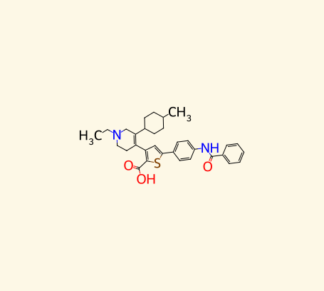 CCN1CCC(c2cc(-c3ccc(NC(=O)c4ccccc4)cc3)sc2C(=O)O)=C(C2CCC(C)CC2)C1